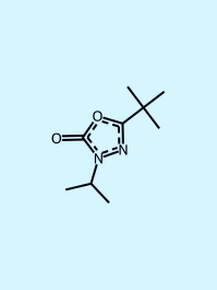 CC(C)n1nc(C(C)(C)C)oc1=O